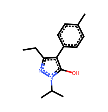 CCc1nn(C(C)C)c(O)c1-c1ccc(C)cc1